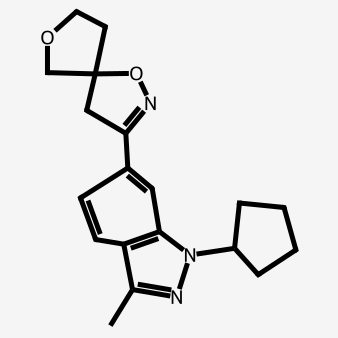 Cc1nn(C2CCCC2)c2cc(C3=NOC4(CCOC4)C3)ccc12